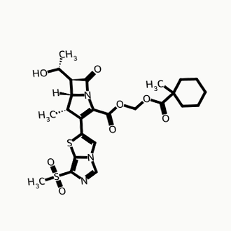 C[C@@H](O)[C@H]1C(=O)N2C(C(=O)OCOC(=O)C3(C)CCCCC3)=C(c3cn4cnc(S(C)(=O)=O)c4s3)[C@H](C)[C@H]12